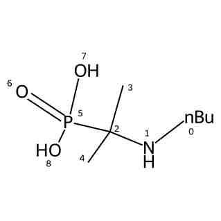 CCCCNC(C)(C)P(=O)(O)O